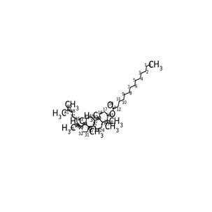 CCCCCCCCCCCCCC(=O)OC1CC[C@]2(C)C3=C(CCC2C1(C)C)[C@]1(C)CC[C@H]([C@H](C)CCC=C(C)C)[C@@]1(C)CC3